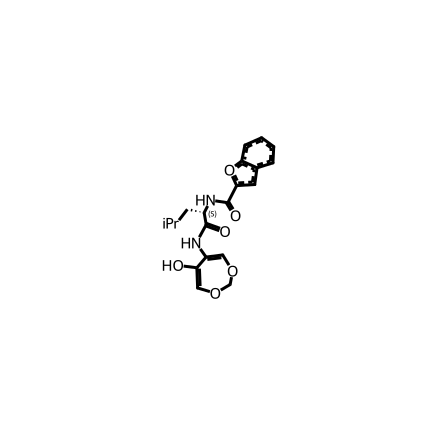 CC(C)C[C@H](NC(=O)c1cc2ccccc2o1)C(=O)NC1=COCOC=C1O